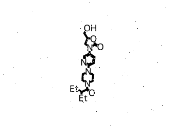 CCC(CC)C(=O)N1CCN(c2ccc(N3CC(CO)OC3=O)cn2)CC1